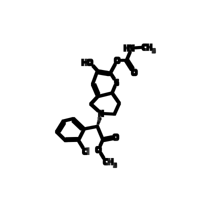 CNC(=O)OC1=C(O)C=C2CN([C@H](C(=O)OC)c3ccccc3Cl)CCC2S1